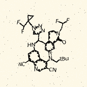 CC(C)(C)CNc1c(C#N)cnc2c(C#N)cc(NC(c3cn(C4(C(F)F)CC4)nn3)c3cccc4c(=O)n(CC(F)F)ccc34)cc12